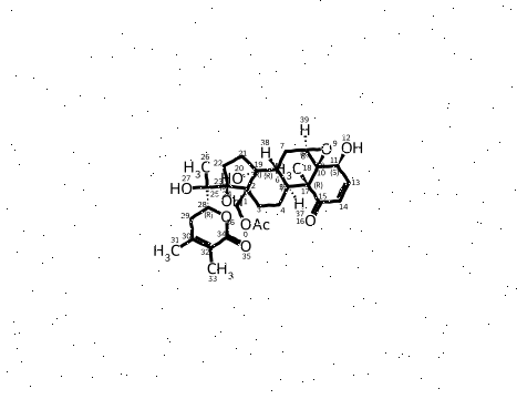 CC(=O)OC[C@]12CC[C@H]3[C@@H](C[C@H]4O[C@]45[C@@H](O)C=CC(=O)[C@]35C)[C@]1(O)CC[C@@]2(O)C(C)(O)[C@H]1CC(C)=C(C)C(=O)O1